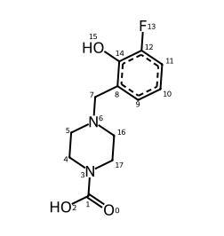 O=C(O)N1CCN(Cc2cccc(F)c2O)CC1